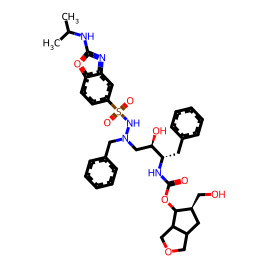 CC(C)Nc1nc2cc(S(=O)(=O)NN(Cc3ccccc3)C[C@@H](O)[C@H](Cc3ccccc3)NC(=O)OC3C4COCC4C[C@@H]3CO)ccc2o1